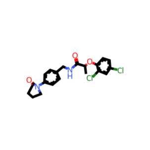 CC(Oc1ccc(Cl)cc1Cl)C(=O)NCc1ccc(N2CCCC2=O)cc1